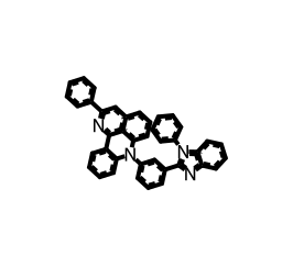 c1ccc(-c2cc3cccc4c3c(n2)-c2ccccc2N4c2cccc(-c3nc4ccccc4n3-c3ccccc3)c2)cc1